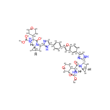 COC(=O)N[C@H](C(=O)N1C(c2ncc(-c3ccc(-c4cc5cc(-c6c[nH]c([C@@H]7C[C@H]8C[C@H]8N7C(=O)[C@@H](NC(=O)OC)C7CCOCC7)n6)ccc5o4)cc3)[nH]2)C[C@H]2C[C@H]21)C1CCOCC1